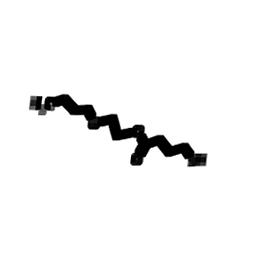 CCCCOCCOC(=O)CCCS